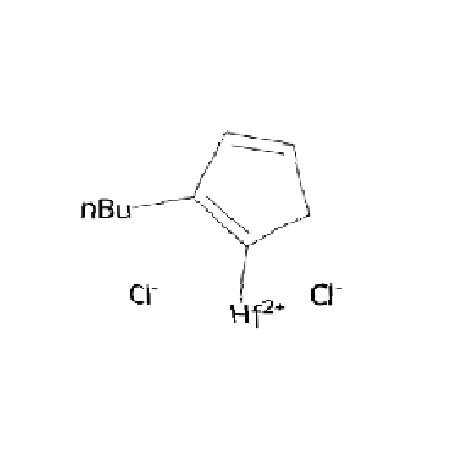 CCCCC1=[C]([Hf+2])CC=C1.[Cl-].[Cl-]